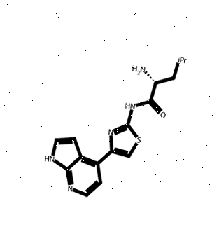 CC(C)C[C@@H](N)C(=O)Nc1nc(-c2ccnc3[nH]ccc23)cs1